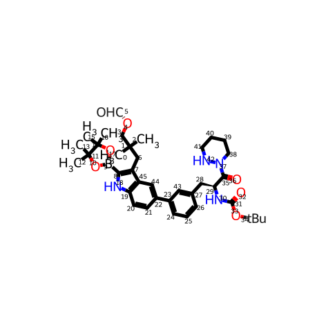 CC(C)(COC=O)Cc1c(B2OC(C)(C)C(C)(C)O2)[nH]c2ccc(-c3cccc(C[C@H](NC(=O)OC(C)(C)C)C(=O)N4CCCCN4)c3)cc12